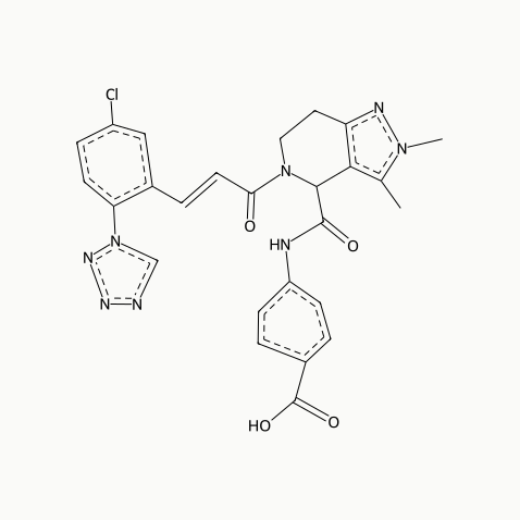 Cc1c2c(nn1C)CCN(C(=O)/C=C/c1cc(Cl)ccc1-n1cnnn1)C2C(=O)Nc1ccc(C(=O)O)cc1